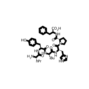 CCC[C@H](N)C(=O)N[C@@H](Cc1ccc(O)cc1)C(=O)N[C@H](C(=O)N[C@@H](Cc1c[nH]cn1)C(=O)N1CCC[C@H]1C(=O)N[C@@H](Cc1ccccc1)C(=O)O)C(C)CC